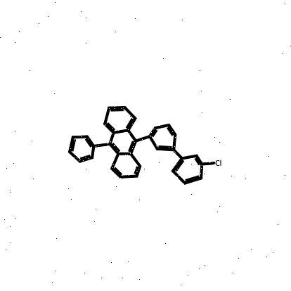 Clc1cccc(-c2cccc(-c3c4ccccc4c(-c4ccccc4)c4ccccc34)c2)c1